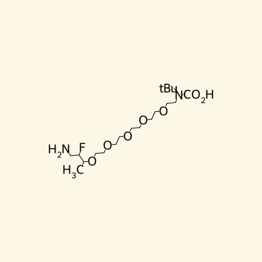 CC(OCCOCCOCCOCCOCCN(C(=O)O)C(C)(C)C)C(F)CN